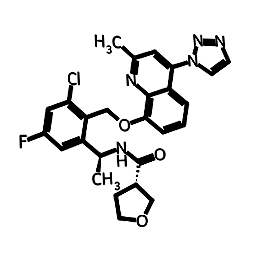 Cc1cc(-n2ccnn2)c2cccc(OCc3c(Cl)cc(F)cc3[C@H](C)NC(=O)[C@H]3CCOC3)c2n1